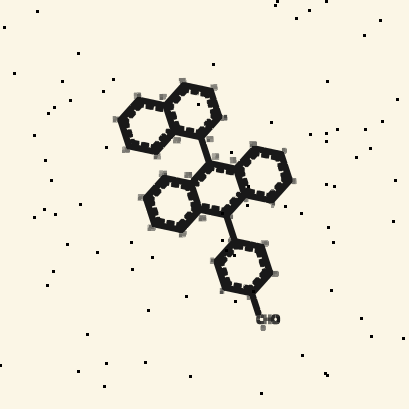 O=Cc1ccc(-c2c3ccccc3c(-c3cccc4ccccc34)c3ccccc23)cc1